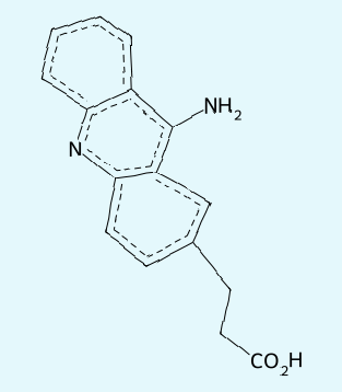 Nc1c2ccccc2nc2ccc(CCC(=O)O)cc12